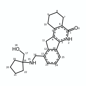 O=c1[nH]c2c(c3c1CCCC3)Cc1c(CNC3(CO)CCCC3)cccc1-2